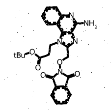 CC(C)(C)OC(=O)CCn1c(CON2C(=O)c3ccccc3C2=O)nc2c(N)nc3ccccc3c21